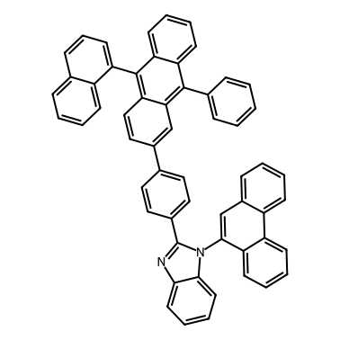 c1ccc(-c2c3ccccc3c(-c3cccc4ccccc34)c3ccc(-c4ccc(-c5nc6ccccc6n5-c5cc6ccccc6c6ccccc56)cc4)cc23)cc1